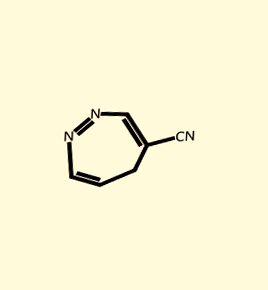 N#CC1=CN=NC=CC1